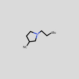 CC(C)(C)CCN1CCC(C#N)C1